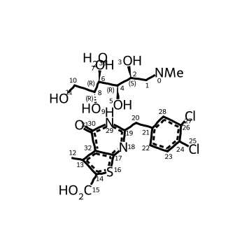 CNC[C@H](O)[C@@H](O)[C@H](O)[C@H](O)CO.Cc1c(C(=O)O)sc2nc(Cc3ccc(Cl)c(Cl)c3)[nH]c(=O)c12.O